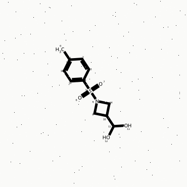 Cc1ccc(S(=O)(=O)N2CC(C(O)O)C2)cc1